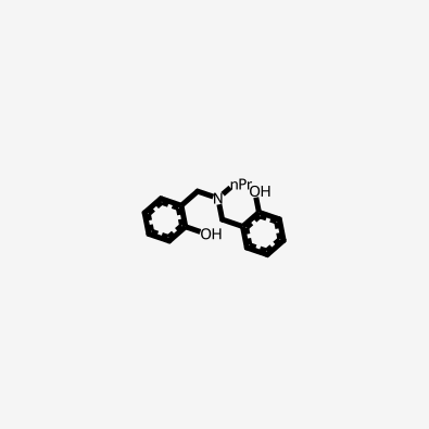 CCCN(Cc1ccccc1O)Cc1ccccc1O